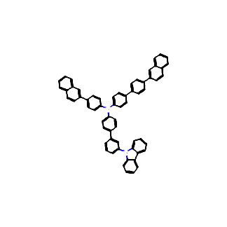 c1cc(-c2ccc(N(c3ccc(-c4ccc(-c5ccc6ccccc6c5)cc4)cc3)c3ccc(-c4ccc5ccccc5c4)cc3)cc2)cc(-n2c3ccccc3c3ccccc32)c1